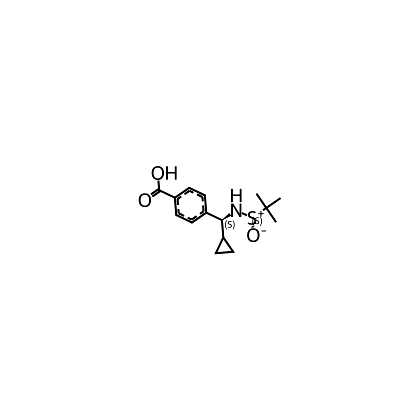 CC(C)(C)[S@@+]([O-])N[C@H](c1ccc(C(=O)O)cc1)C1CC1